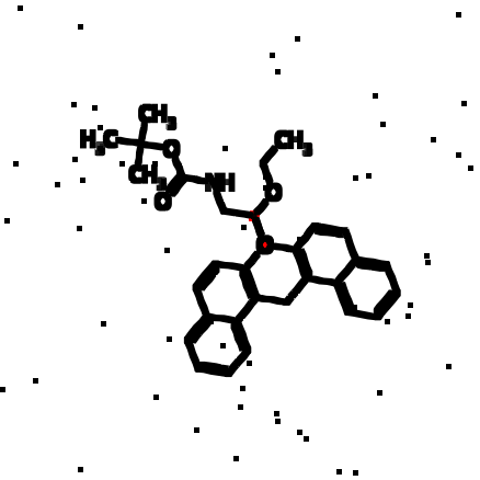 CCOCOc1ccc2ccccc2c1Cc1c(OCCNC(=O)OC(C)(C)C)ccc2ccccc12